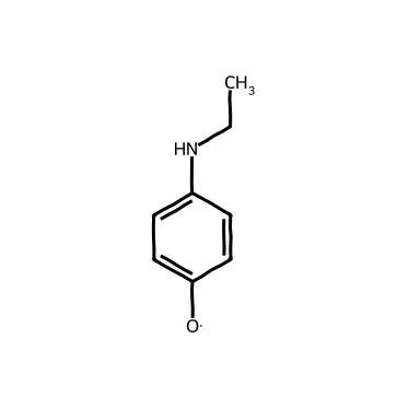 CCNc1ccc([O])cc1